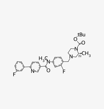 C[C@H]1CN(Cc2ccc(N(C)C(=O)c3ccc(-c4cccc(F)c4)nc3)cc2F)CCN1C(=O)OC(C)(C)C